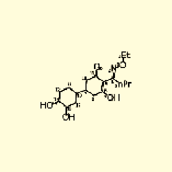 CCCC(=NOCC)C1=C(O)CC(C2CCC(O)C(O)C2)CC1=O